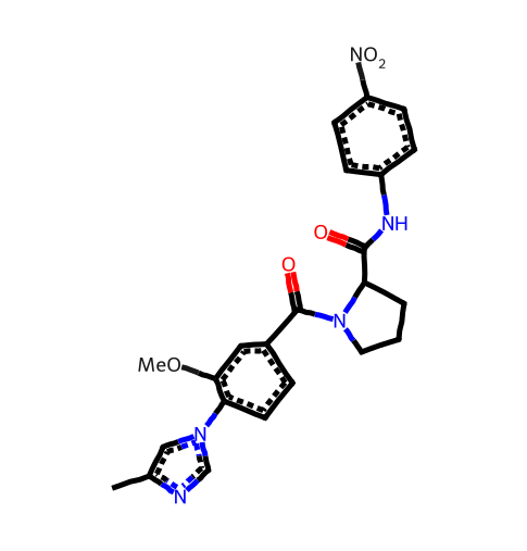 COc1cc(C(=O)N2CCCC2C(=O)Nc2ccc([N+](=O)[O-])cc2)ccc1-n1cnc(C)c1